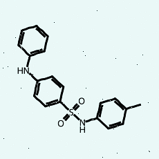 Cc1ccc(NS(=O)(=O)c2ccc(Nc3ccccc3)cc2)cc1